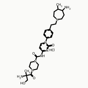 CC1CCN(CCc2ccc(-n3ccc(NC(=O)N4CCN(C(=O)C(C)(N)CO)CC4)nc3=O)cc2)CCC1N.Cl